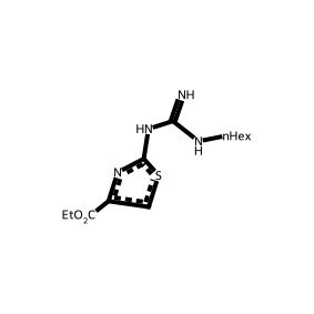 CCCCCCNC(=N)Nc1nc(C(=O)OCC)cs1